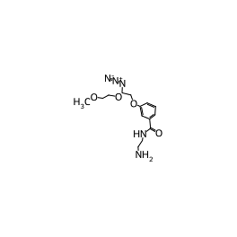 COCCOC(COc1cccc(C(=O)NCCN)c1)N=[N+]=[N-]